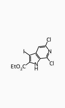 CCOC(=O)c1[nH]c2c(Cl)nc(Cl)cc2c1I